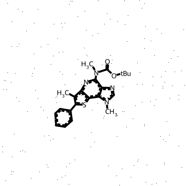 Cc1c(-c2ccccc2)sc2c1nc(N(C)C(=O)OC(C)(C)C)c1ncn(C)c12